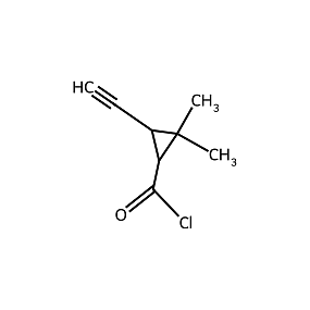 C#CC1C(C(=O)Cl)C1(C)C